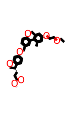 CCOCCOc1cc(C)c2c(c1)COc1ccc(COc3ccc4c(c3)OC[C@H]4CCC(=O)OC)cc1-2